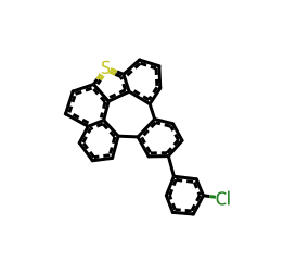 Clc1cccc(-c2ccc3c(c2)-c2cccc4ccc5sc6cccc-3c6c5c24)c1